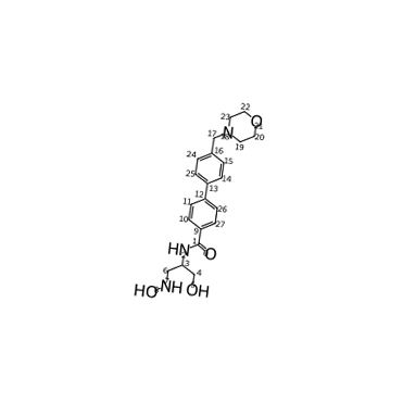 O=C(NC(CO)CNO)c1ccc(-c2ccc(CN3CCOCC3)cc2)cc1